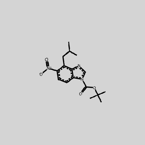 CC(C)Cc1c([N+](=O)[O-])ccc2c1ncn2C(=O)OC(C)(C)C